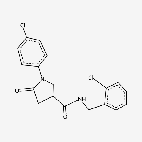 O=C(NCc1ccccc1Cl)C1CC(=O)N(c2ccc(Cl)cc2)C1